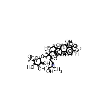 C/C(=C/CC[C@](C)(CO[C@@H]1O[C@H](CO)[C@@H](O)[C@H](O)[C@H]1O)[C@H]1CC[C@]2(C)[C@@H]1[C@H](O)C[C@@H]1[C@@]3(C)CC[C@H](O)C(C)(C)[C@@H]3[C@@H](O)C[C@]12C)CO